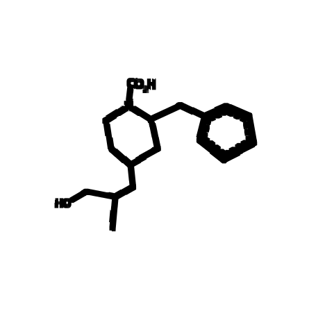 CC(CO)CC1CCN(C(=O)O)C(Cc2ccccc2)C1